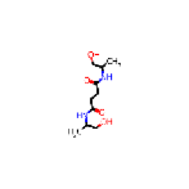 CC(CO)NC(=O)CCC(=O)NC(C)CO